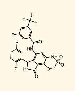 O=C(Nc1cc2c(c3c1C(c1cc(F)ccc1Cl)NC3=O)OCS(=O)(=O)N2)c1cc(F)cc(C(F)(F)F)c1